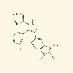 CCn1c(=O)n(CC)c2cc(C3=C(c4cccc(C)c4)N(c4ccccn4)NC3)ccc21